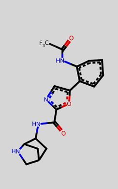 O=C(NC1CC2CNC1C2)c1ncc(-c2ccccc2NC(=O)C(F)(F)F)o1